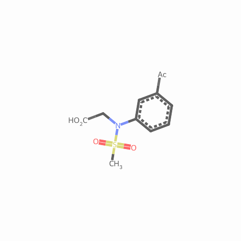 CC(=O)c1cccc(N(CC(=O)O)S(C)(=O)=O)c1